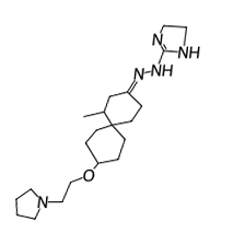 CC1CC(=NNC2=NCCN2)CCC12CCC(OCCN1CCCC1)CC2